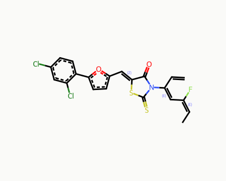 C=C/C(=C\C(F)=C/C)N1C(=O)/C(=C/c2ccc(-c3ccc(Cl)cc3Cl)o2)SC1=S